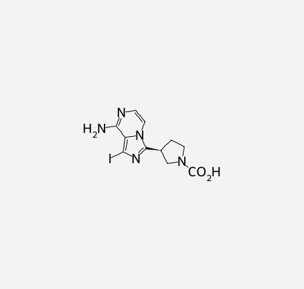 Nc1nccn2c([C@H]3CCN(C(=O)O)C3)nc(I)c12